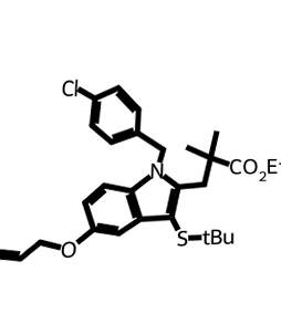 C=CCOc1ccc2c(c1)c(SC(C)(C)C)c(CC(C)(C)C(=O)OCC)n2Cc1ccc(Cl)cc1